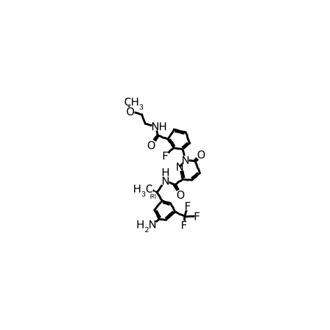 COCCNC(=O)c1cccc(-n2nc(C(=O)N[C@H](C)c3cc(N)cc(C(F)(F)F)c3)ccc2=O)c1F